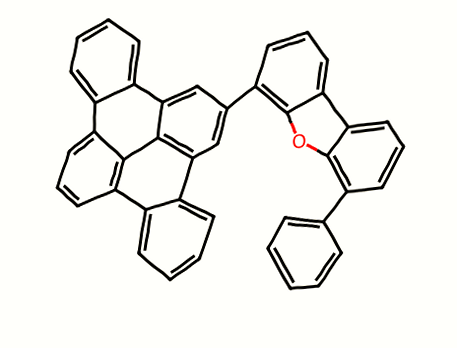 c1ccc(-c2cccc3c2oc2c(-c4cc5c6ccccc6c6cccc7c8ccccc8c(c4)c5c67)cccc23)cc1